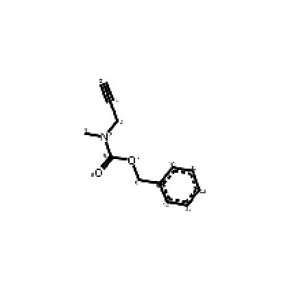 C#CCN(C)C(=O)OCc1ccccc1